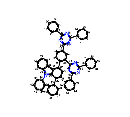 c1ccc(-c2nc(-c3ccccc3)nc(-c3ccc(-c4ccc(-c5ccccc5)c5c4c4ccccc4n5-c4ccccc4)c(-c4nc(-c5ccccc5)nc(-c5ccccc5)n4)c3)n2)cc1